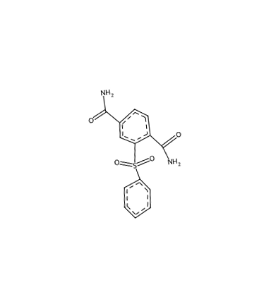 NC(=O)c1ccc(C(N)=O)c(S(=O)(=O)c2ccccc2)c1